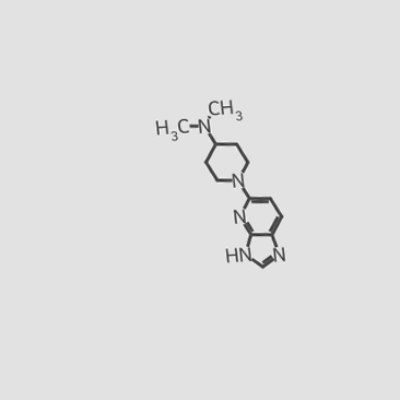 CN(C)C1CCN(c2ccc3nc[nH]c3n2)CC1